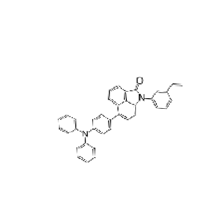 C=Cc1cccc(N2C(=O)c3cccc4c(-c5ccc(N(c6ccccc6)c6ccccc6)cc5)ccc2c34)c1